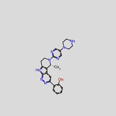 C[C@@H]1c2c([nH]c3nnc(-c4ccccc4O)cc23)CCN1c1ncc(N2CCNCC2)cn1